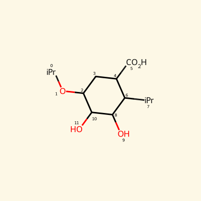 CC(C)OC1CC(C(=O)O)C(C(C)C)C(O)C1O